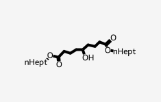 CCCCCCCOC(=O)CCCC(O)CCCC(=O)OCCCCCCC